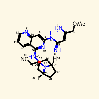 COC/C(N)=C/C(=N)Nc1cc2ncccc2c(N[C@@H]2C[C@H]3CC[C@@H](C2)N3CCC#N)n1